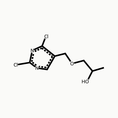 CC(O)COCc1cnc(Cl)nc1Cl